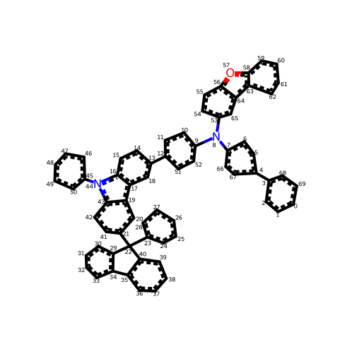 c1ccc(-c2ccc(N(c3ccc(-c4ccc5c(c4)c4cc(C6(c7ccccc7)c7ccccc7-c7ccccc76)ccc4n5-c4ccccc4)cc3)c3ccc4oc5ccccc5c4c3)cc2)cc1